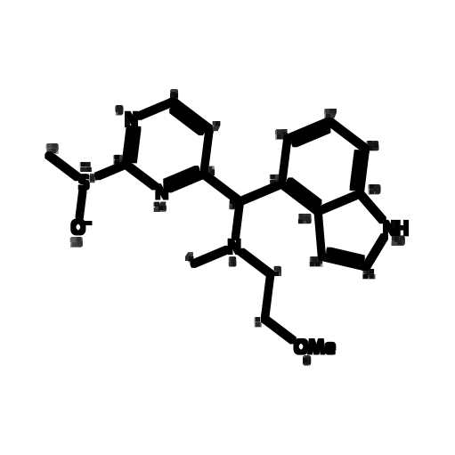 COCCN(C)C(c1ccnc([S+](C)[O-])n1)c1cccc2[nH]ccc12